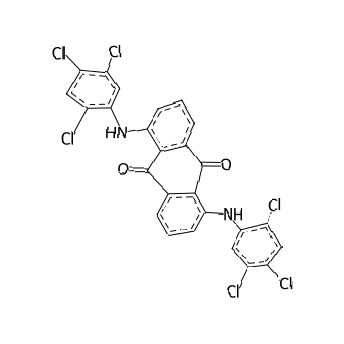 O=C1c2cccc(Nc3cc(Cl)c(Cl)cc3Cl)c2C(=O)c2cccc(Nc3cc(Cl)c(Cl)cc3Cl)c21